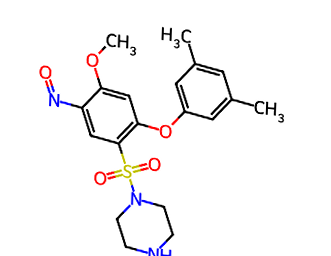 COc1cc(Oc2cc(C)cc(C)c2)c(S(=O)(=O)N2CCNCC2)cc1N=O